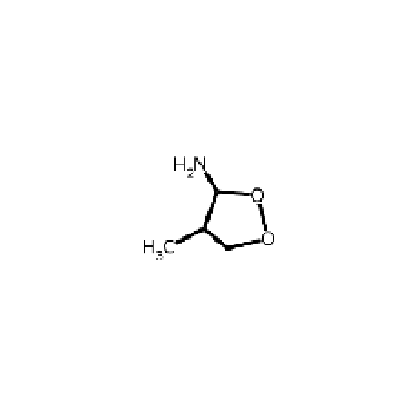 CC1COOC1N